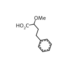 COC(CCc1ccccc1)C(=O)O